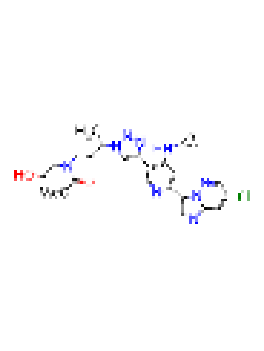 COC(=O)N(CCO)CCC(C)n1cc(-c2cnc(-c3cnc4cc(Cl)cnn34)cc2NC2CC2)nn1